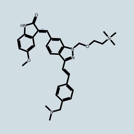 COc1ccc2c(c1)/C(=C\c1ccc3c(C=Cc4ccc(CN(C)C)cc4)nn(COCC[Si](C)(C)C)c3c1)C(=O)N2